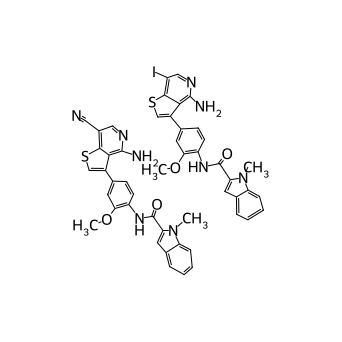 COc1cc(-c2csc3c(C#N)cnc(N)c23)ccc1NC(=O)c1cc2ccccc2n1C.COc1cc(-c2csc3c(I)cnc(N)c23)ccc1NC(=O)c1cc2ccccc2n1C